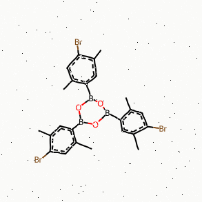 Cc1cc(B2OB(c3cc(C)c(Br)cc3C)OB(c3cc(C)c(Br)cc3C)O2)c(C)cc1Br